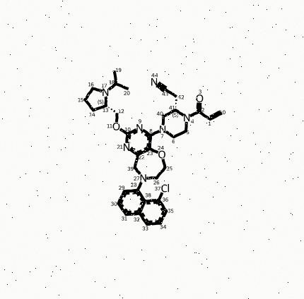 C=CC(=O)N1CCN(c2nc(OC[C@@H]3CCCN3C(C)C)nc3c2OCCN(c2cccc4cccc(Cl)c24)C3)C[C@@H]1CC#N